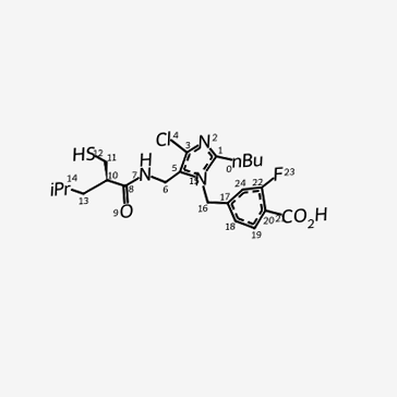 CCCCc1nc(Cl)c(CNC(=O)[C@H](CS)CC(C)C)n1Cc1ccc(C(=O)O)c(F)c1